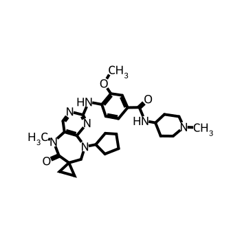 COc1cc(C(=O)NC2CCN(C)CC2)ccc1Nc1ncc2c(n1)N(C1CCCC1)CC1(CC1)C(=O)N2C